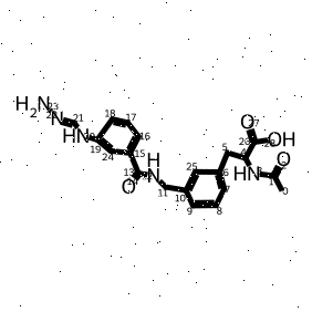 CC(=O)NC(Cc1cccc(CNC(=O)c2cccc(NC=NN)c2)c1)C(=O)O